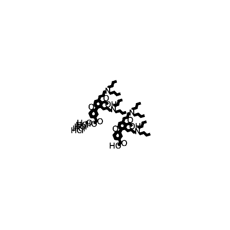 CCCCN(CCCC)CCCc1cc2oc3ccc(C(=O)O)cc3c2c(CCCN(CCCC)CCCC)c1C(=O)O.CCCCN(CCCC)CCCc1cc2oc3ccc(C(=O)O)cc3c2c(CCCN(CCCC)CCCC)c1C(=O)O.Cl.Cl.Cl.Cl.O